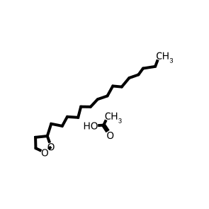 CC(=O)O.CCCCCCCCCCCCCCCC1CCOO1